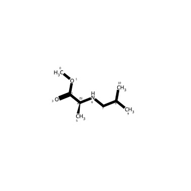 COC(=O)[C@H](C)NCC(C)C